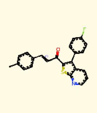 Cc1ccc(/C=C/C(=O)c2sc3ncccc3c2-c2ccc(F)cc2)cc1